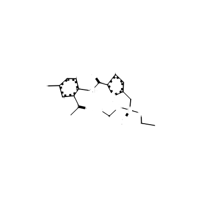 CCOP(=O)(Cc1ccc(C(=O)Nc2ccc(I)cc2C(C)=O)s1)OCC